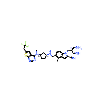 Cc1c(CN[C@H]2CC[C@@H](N(C)c3ncnc4sc(CC(F)(F)F)cc34)C2)ccc2c1cc(C#N)n2C/C(C=N)=C/N